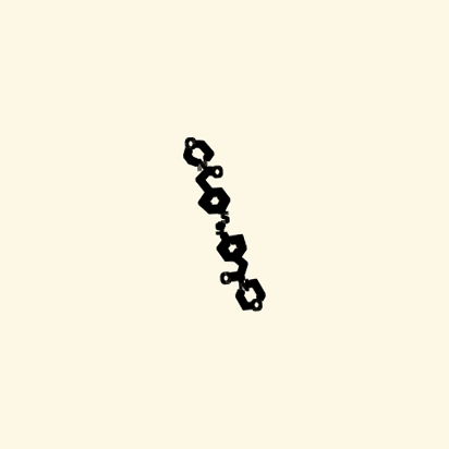 O=C(Cc1ccc(SSc2ccc(CC(=O)N3CCOCC3)cc2)cc1)N1CCOCC1